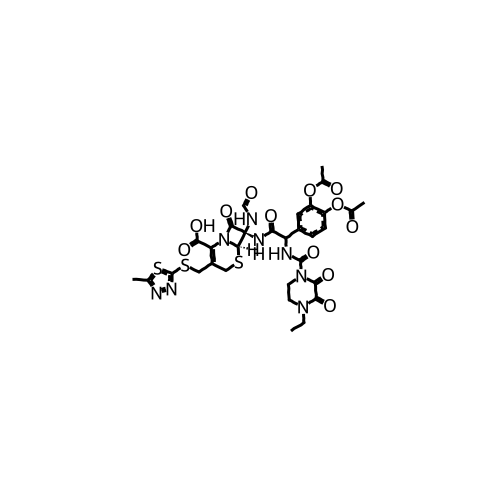 CCN1CCN(C(=O)NC(C(=O)N[C@]2(NC=O)C(=O)N3C(C(=O)O)=C(CSc4nnc(C)s4)CS[C@@H]32)c2ccc(OC(C)=O)c(OC(C)=O)c2)C(=O)C1=O